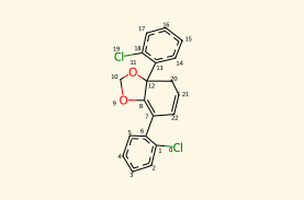 Clc1ccccc1C1=C2OCOC2(c2ccccc2Cl)C[C]=C1